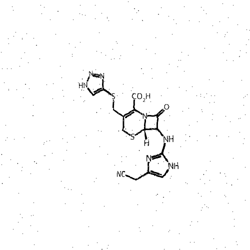 N#CCc1c[nH]c(NC2C(=O)N3C(C(=O)O)=C(CSc4c[nH]nn4)CS[C@@H]23)n1